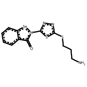 NCCCSc1nnc(-n2[se]c3ccccc3c2=O)s1